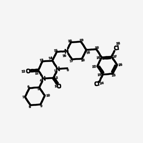 CN1C(=O)N(C2CCCCC2)C(=O)CC1CN1CCC(Cc2cc(Cl)ccc2Cl)CC1